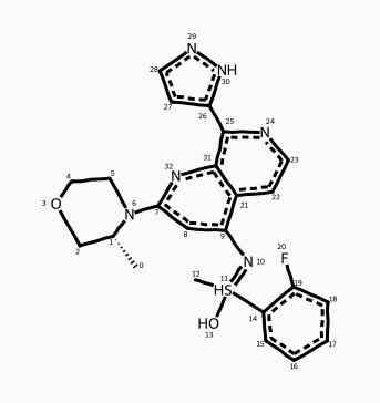 C[C@@H]1COCCN1c1cc(N=[SH](C)(O)c2ccccc2F)c2ccnc(-c3ccn[nH]3)c2n1